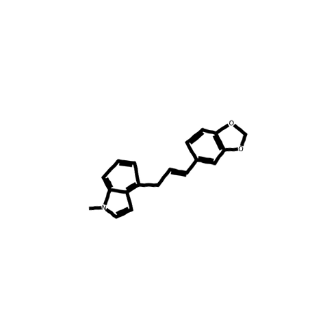 Cn1ccc2c(C/C=C/c3ccc4c(c3)OCO4)cccc21